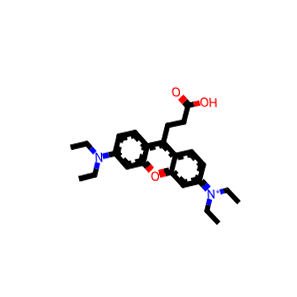 CCN(CC)c1ccc2c(CCC(=O)O)c3ccc(=[N+](CC)CC)cc-3oc2c1